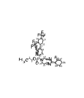 CCCOC(=O)C(c1ccc(-c2ccc(C(F)(F)F)cc2C(F)(F)F)nn1)n1ccc2nc(-c3ccccc3F)nc-2c1